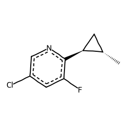 C[C@H]1C[C@@H]1c1ncc(Cl)cc1F